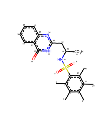 Cc1c(C)c(C)c(S(=O)(=O)N[C@@H](Cc2nc3ccccc3c(=O)[nH]2)C(=O)O)c(C)c1C